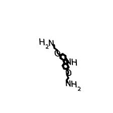 NCCCOc1ccc2c(c1)[nH]c1ccc(OCCCN)cc12